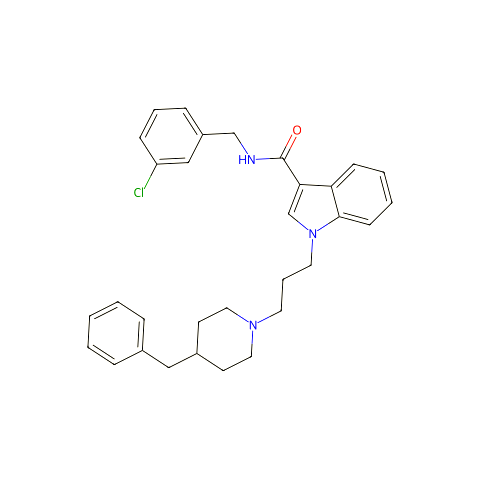 O=C(NCc1cccc(Cl)c1)c1cn(CCCN2CCC(Cc3ccccc3)CC2)c2ccccc12